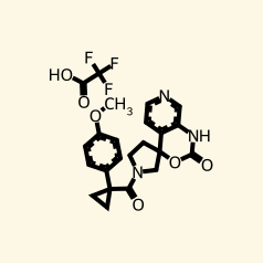 COc1ccc(C2(C(=O)N3CCC4(C3)OC(=O)Nc3cnccc34)CC2)cc1.O=C(O)C(F)(F)F